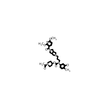 COc1ccc(C(=O)N2CC3CN(CCCN(C(=O)OC4CCN(C(C)=O)CC4)c4ccc(C)c(Cl)c4)CC3C2)c(OC)n1